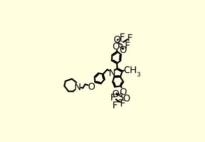 Cc1c(-c2ccc(OS(=O)(=O)C(F)(F)F)cc2)n(Cc2ccc(OCCN3CCCCCC3)cc2)c2ccc(OS(=O)(=O)C(F)(F)F)cc12